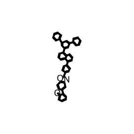 c1ccc(-c2cc(-c3ccccc3)cc(-c3cccc4c(-c5ccc(-c6nc7cc8c(cc7o6)oc6ccccc68)cc5)cccc34)c2)cc1